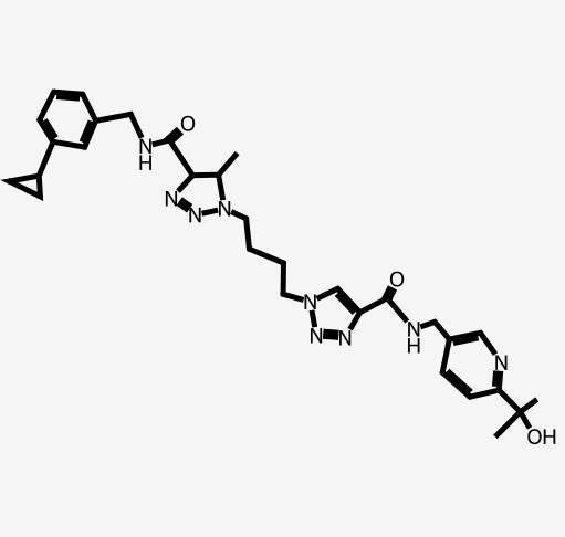 CC1C(C(=O)NCc2cccc(C3CC3)c2)N=NN1CCCCn1cc(C(=O)NCc2ccc(C(C)(C)O)nc2)nn1